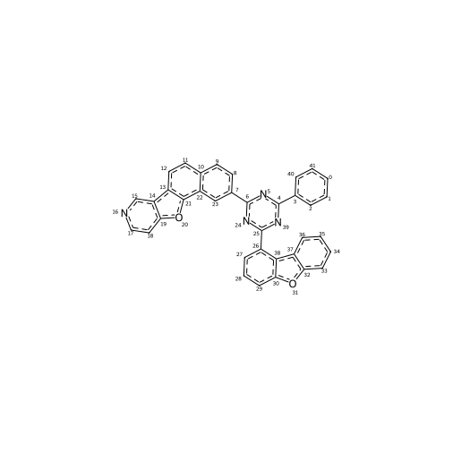 c1ccc(-c2nc(-c3ccc4ccc5c6cnccc6oc5c4c3)nc(-c3cccc4oc5ccccc5c34)n2)cc1